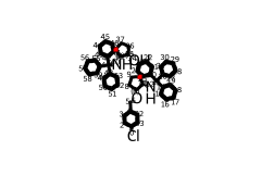 Clc1ccc(CO[C@@H]2CCC[C@H]2NC(c2ccccc2)(c2ccccc2)c2ccccc2)cc1.O[C@@H]1CCC[C@H]1NC(c1ccccc1)(c1ccccc1)c1ccccc1